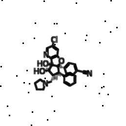 N#Cc1ccc([C@@]23Oc4cc(Cl)cnc4[C@@]2(O)[C@H](O)[C@@H](CN2CCCC2)[C@@H]3c2ccccc2)cc1